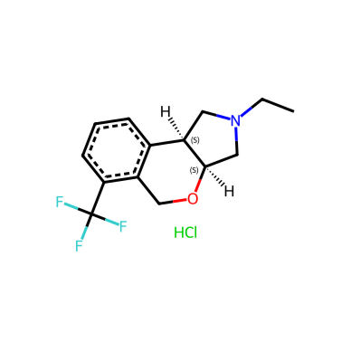 CCN1C[C@@H]2c3cccc(C(F)(F)F)c3CO[C@@H]2C1.Cl